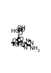 CC1(C)OC2[C@@H](COP(=O)(O)O)O[C@@H](n3cnc4c(N)ncnc43)[C@H]2O1